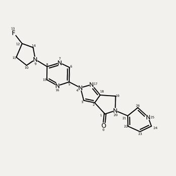 O=C1c2cn(-c3cnc(N4CCC(F)C4)cn3)nc2CN1c1cccnc1